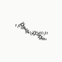 CCOC(=O)[C@H](Cc1ccc(OCCN2CC3C(C2)C3NCc2cccc(C(F)(F)F)c2)cc1)Oc1ccc(C(C)(C)C)cc1